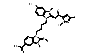 CCn1nc(C)cc1C(=O)/N=c1\n(C)c2cc(C=O)ccc2n1CCCCn1/c(=N/C)n(C)c2cc(C(N)=O)ccc21